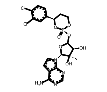 C[C@@]1(O)[C@H](O)C(O[P@]2(=O)OCC[C@H](c3ccc(Cl)c(Cl)c3)O2)O[C@H]1n1ccc2c(N)ncnc21